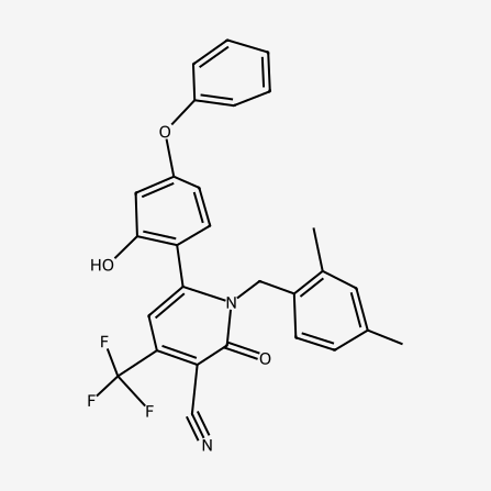 Cc1ccc(Cn2c(-c3ccc(Oc4ccccc4)cc3O)cc(C(F)(F)F)c(C#N)c2=O)c(C)c1